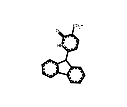 O=C(O)c1ccc(C2c3ccccc3-c3ccccc32)[nH]c1=O